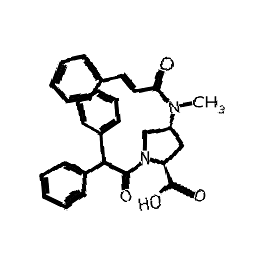 CN(C(=O)C=Cc1ccccc1)[C@H]1C[C@@H](C(=O)O)N(C(=O)C(c2ccccc2)c2ccccc2)C1